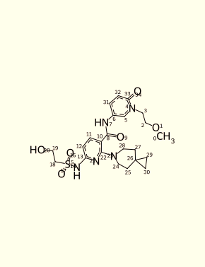 COCCn1cc(NC(=O)c2ccc(NS(=O)(=O)CCO)nc2N2CCC3(CC2)CC3)ccc1=O